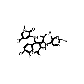 COc1ncc(-n2nc(C(=O)O)c(C(Nc3cc(Cl)cn(C)c3=O)c3ccc(Cl)c(F)c3)c2C(C)C)c(OC)n1